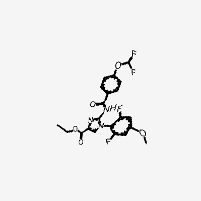 CCOC(=O)c1cn(-c2c(F)cc(OC)cc2F)c(NC(=O)c2ccc(OC(F)F)cc2)n1